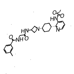 Cc1cccc(C(=O)NCC(=O)NC2CN([C@H]3CC[C@@H](c4ncccc4NS(C)(=O)=O)CC3)C2)c1